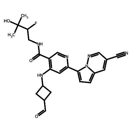 CC(C)(O)C(F)CNC(=O)c1cnc(-c2ccc3cc(C#N)cnn23)cc1NC1CC(C=O)C1